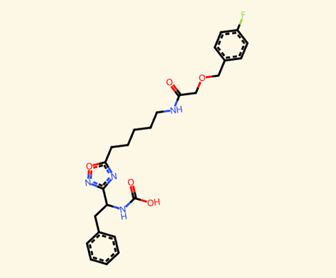 O=C(O)NC(Cc1ccccc1)c1noc(CCCCCNC(=O)COCc2ccc(F)cc2)n1